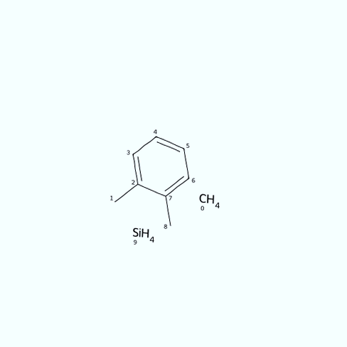 C.Cc1ccccc1C.[SiH4]